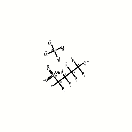 CCCC(F)(F)C(F)(F)C(F)(F)C(F)(F)S(=O)(=O)[O-].CC[N+](CC)(CC)CC